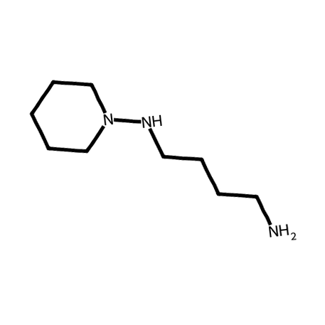 NCCCCNN1CCCCC1